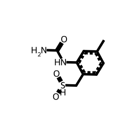 Cc1ccc(C[SH](=O)=O)c(NC(N)=O)c1